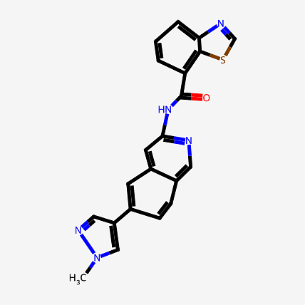 Cn1cc(-c2ccc3cnc(NC(=O)c4cccc5ncsc45)cc3c2)cn1